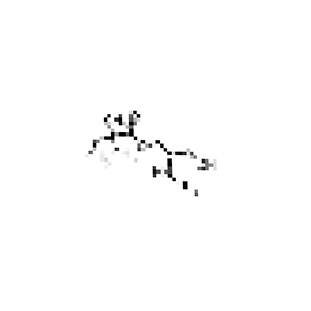 CCC(C)(C)C(=O)OCC(CO)NC